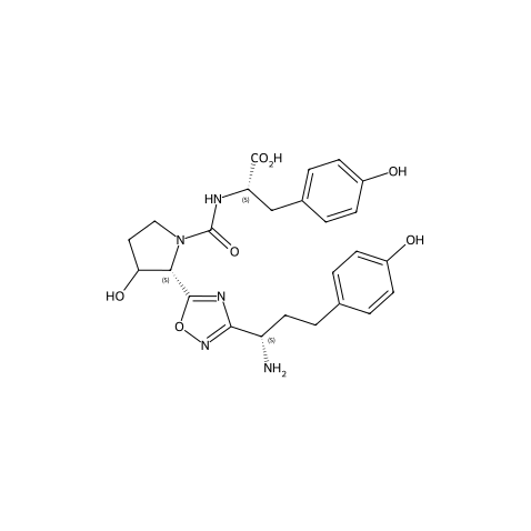 N[C@@H](CCc1ccc(O)cc1)c1noc([C@@H]2C(O)CCN2C(=O)N[C@@H](Cc2ccc(O)cc2)C(=O)O)n1